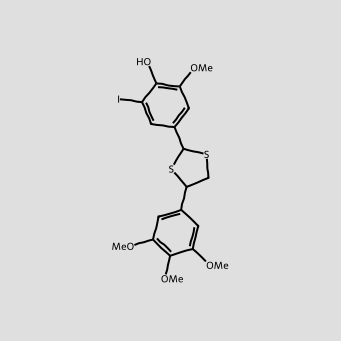 COc1cc(C2SCC(c3cc(OC)c(OC)c(OC)c3)S2)cc(I)c1O